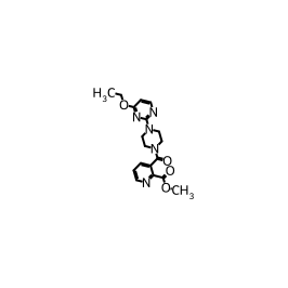 CCOc1ccnc(N2CCN(C(=O)c3cccnc3C(=O)OC)CC2)n1